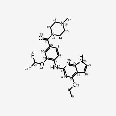 CCOc1nc(Nc2ccc(C(=O)N3CCN(C)CC3)cc2OC(F)F)nc2[nH]ccc12